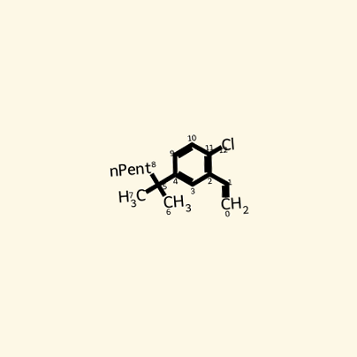 C=Cc1cc(C(C)(C)CCCCC)ccc1Cl